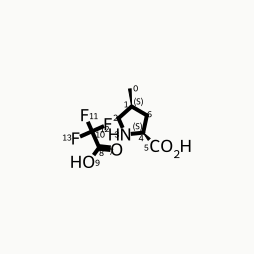 C[C@@H]1CN[C@H](C(=O)O)C1.O=C(O)C(F)(F)F